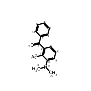 CC(=O)c1c(C(=O)c2ccccc2)cccc1N(C)C